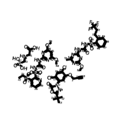 C#CCOc1cc(-n2nc(C(C)(C)C)oc2=O)c(Cl)cc1Cl.CCS(=O)(=O)c1cccnc1S(=O)(=O)NC(=O)Nc1nc(OC)cc(OC)n1.COc1nc(C)nc(NC(=O)NS(=O)(=O)c2ccccc2CCC(F)(F)F)n1.O=C(O)CNCP(=O)(O)O